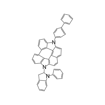 c1ccc(-c2ccc(-n3c4cccc5c4c4c6c(ccc43)ccc3c6c4c-5cccc4n3C3Cc4ccccc4N3c3ccccc3)cc2)cc1